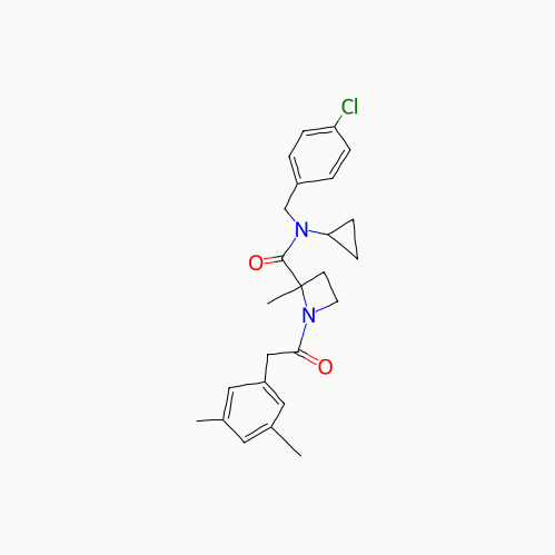 Cc1cc(C)cc(CC(=O)N2CCC2(C)C(=O)N(Cc2ccc(Cl)cc2)C2CC2)c1